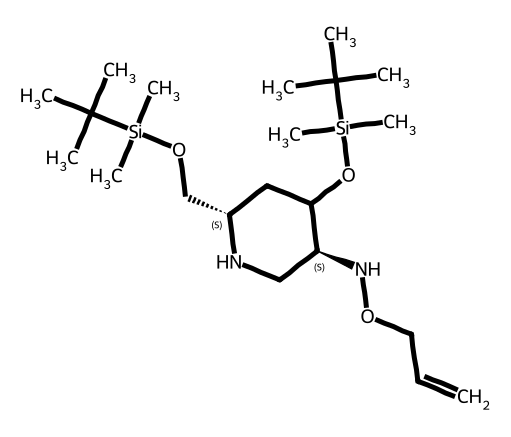 C=CCON[C@H]1CN[C@H](CO[Si](C)(C)C(C)(C)C)CC1O[Si](C)(C)C(C)(C)C